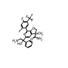 C[C@]1(C(N)=O)COc2c1cc([C@@](O)(CN)c1ccccc1)nc2-c1cc(C(F)(F)F)c(F)cc1F